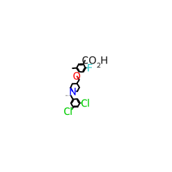 Cc1cc(C(=O)O)c(F)cc1OCC1CCN([C@@H](C)c2cc(Cl)cc(Cl)c2)CC1